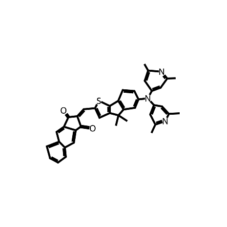 Cc1cc(N(c2cc(C)nc(C)c2)c2ccc3c(c2)C(C)(C)c2cc(C=C4C(=O)c5cc6ccccc6cc5C4=O)sc2-3)cc(C)n1